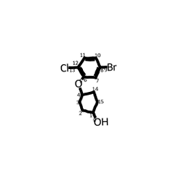 OC1CCC(Oc2cc(Br)ccc2Cl)CC1